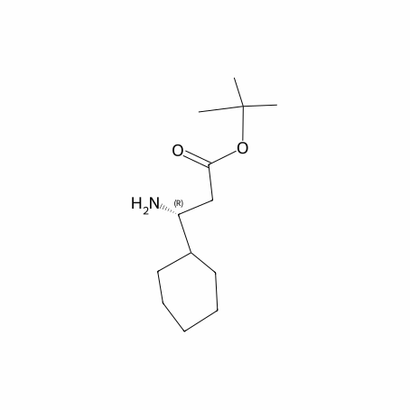 CC(C)(C)OC(=O)C[C@@H](N)C1CCCCC1